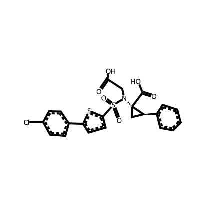 O=C(O)CN([C@@]1(C(=O)O)C[C@@H]1c1ccccc1)S(=O)(=O)c1ccc(-c2ccc(Cl)cc2)s1